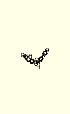 O=C1CCN(c2ccc(NS(=O)(=O)c3ccc(CC4SC(=O)NC4=O)cc3)cc2)CC1